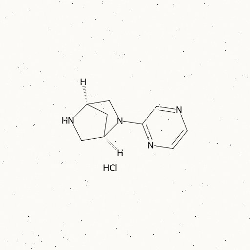 Cl.c1cnc(N2C[C@H]3C[C@@H]2CN3)cn1